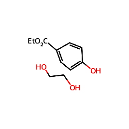 CCOC(=O)c1ccc(O)cc1.OCCO